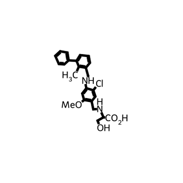 COc1cc(NCc2cccc(-c3ccccc3)c2C)c(Cl)cc1CNC(CO)C(=O)O